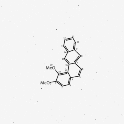 COc1ccc2ccc3cc4ccccc4cc3c2c1OC